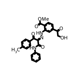 COC(=O)c1ccc(C(=O)CO)cc1N/N=C(/C(=O)Nc1ccccc1)C(=O)c1ccc(C)cc1